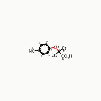 CCC(CC)(Oc1ccc(C#N)cc1)C(=O)O